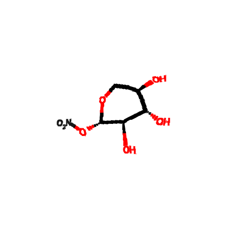 O=[N+]([O-])O[C@@H]1OC[C@@H](O)[C@H](O)[C@H]1O